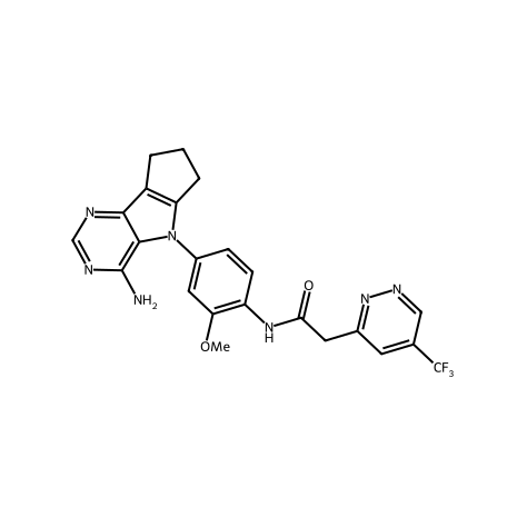 COc1cc(-n2c3c(c4ncnc(N)c42)CCC3)ccc1NC(=O)Cc1cc(C(F)(F)F)cnn1